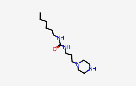 CCCCCCNC(=O)NCCCN1CCNCC1